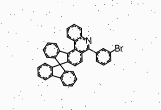 Brc1cccc(-c2nc3ccccc3c3c4c(ccc23)C2(c3ccccc3-c3ccccc32)c2ccccc2-4)c1